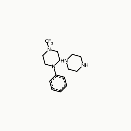 C1CNCCN1.FC(F)(F)N1CCN(c2ccccc2)CC1